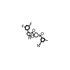 Cc1cc(C#N)cc(C(=O)N2CCC3(CC2)O[C@@H]2CC[C@@H](c4cc(F)cc(F)c4)N2C3=O)c1